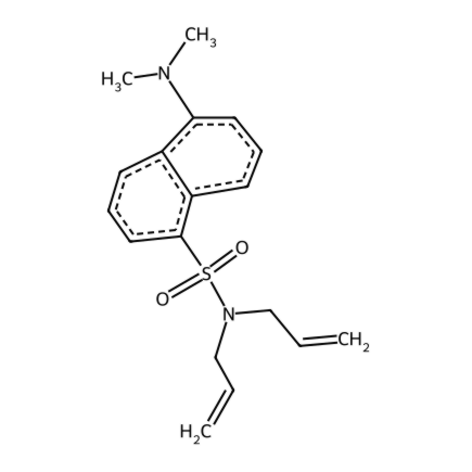 C=CCN(CC=C)S(=O)(=O)c1cccc2c(N(C)C)cccc12